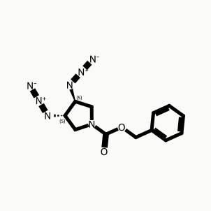 [N-]=[N+]=N[C@H]1CN(C(=O)OCc2ccccc2)C[C@@H]1N=[N+]=[N-]